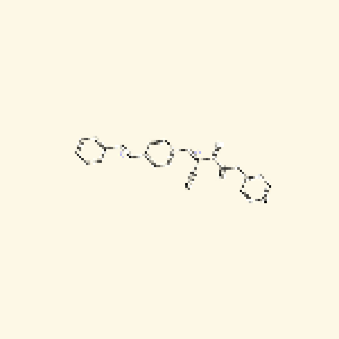 N#C/C(=C\c1ccc(/C=C/c2ccccc2)cc1)C(=O)NCc1ccncc1